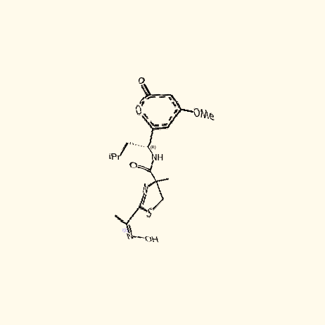 COc1cc([C@@H](CC(C)C)NC(=O)C2(C)CSC(/C(C)=N\O)=N2)oc(=O)c1